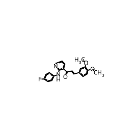 COc1ccc(C=CC(=O)c2cccnc2Nc2ccc(F)cc2)cc1OC